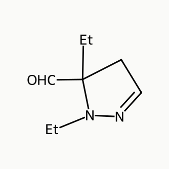 CCN1N=CCC1(C=O)CC